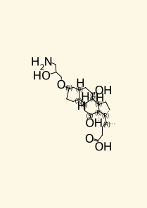 C[C@H](CCC(=O)O)[C@H]1CC[C@H]2[C@@H]3[C@H](O)C[C@@H]4C[C@H](OCC(O)CN)CC[C@]4(C)[C@H]3C[C@H](O)[C@]12C